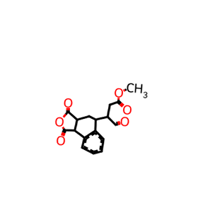 COC(=O)CC(C=O)C1CC2C(=O)OC(=O)C2c2ccccc21